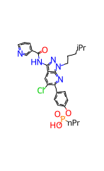 CCCP(=O)(O)Oc1ccc(-c2nc3c(cc2Cl)c(NC(=O)c2cccnc2)nn3CCCC(C)C)cc1